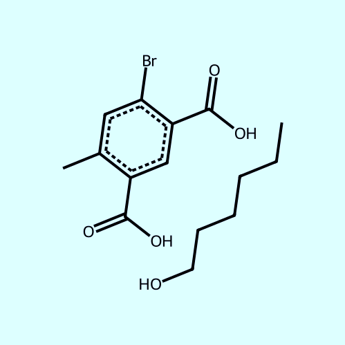 CCCCCCO.Cc1cc(Br)c(C(=O)O)cc1C(=O)O